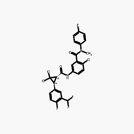 CN(C(=O)c1cc(NC(=O)[C@@H]2[C@@H](c3ccc(F)c(C(F)F)c3)C2(Cl)Cl)ccc1Cl)c1ccc(F)cc1